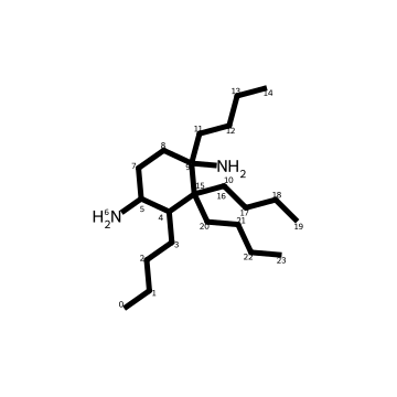 CCCCC1C(N)CCC(N)(CCCC)C1(CCCC)CCCC